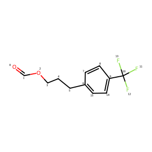 O=[C]OCCCc1ccc(C(F)(F)F)cc1